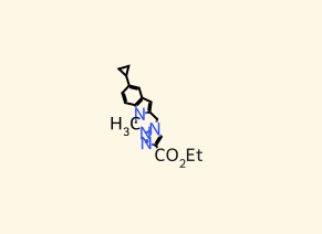 CCOC(=O)c1cn(Cc2cc3cc(C4CC4)ccc3n2C)nn1